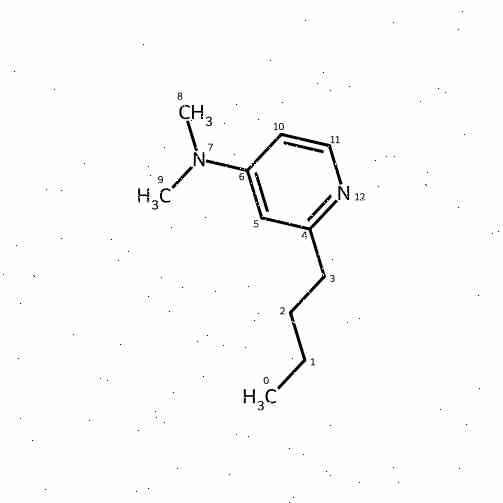 CCCCc1cc(N(C)C)ccn1